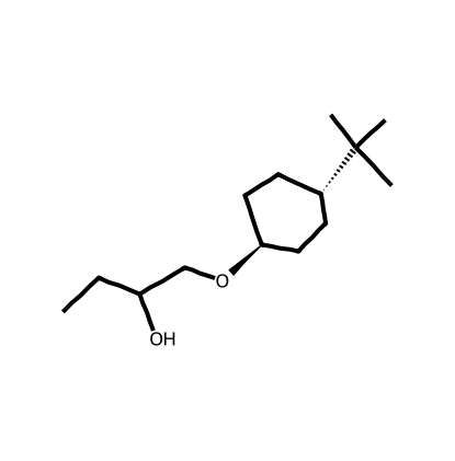 CCC(O)CO[C@H]1CC[C@H](C(C)(C)C)CC1